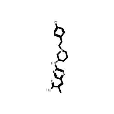 CC(=Cc1cnc(N[C@@H]2CCCN(CCc3ccc(Cl)cc3)C2)cn1)C(=O)O